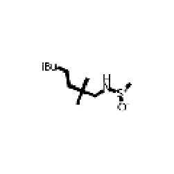 CCC(C)CCC(C)(C)CN[S+](C)[O-]